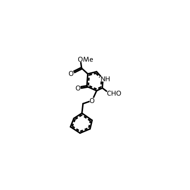 COC(=O)c1c[nH]c(C=O)c(OCc2ccccc2)c1=O